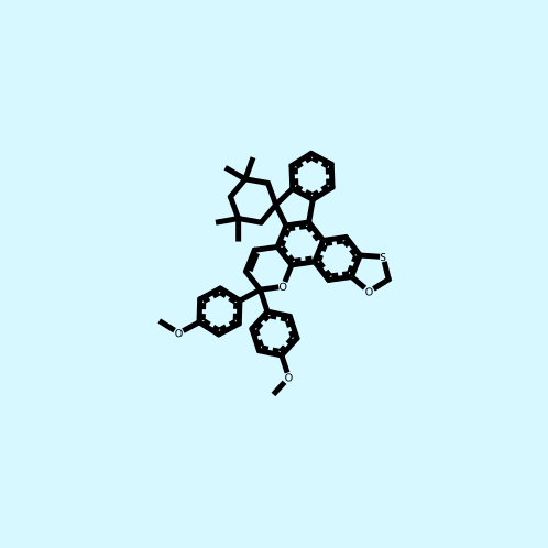 COc1ccc(C2(c3ccc(OC)cc3)C=Cc3c4c(c5cc6c(cc5c3O2)OCS6)-c2ccccc2C42CC(C)(C)CC(C)(C)C2)cc1